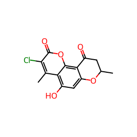 Cc1c(Cl)c(=O)oc2c3c(cc(O)c12)OC(C)CC3=O